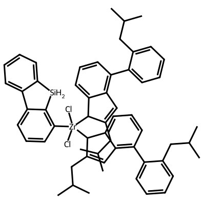 CC(C)CC1=Cc2c(-c3ccccc3CC(C)C)cccc2[CH]1[Zr]([Cl])([Cl])([c]1cccc2c1[SiH2]c1ccccc1-2)[CH]1C(CC(C)C)=Cc2c(-c3ccccc3CC(C)C)cccc21